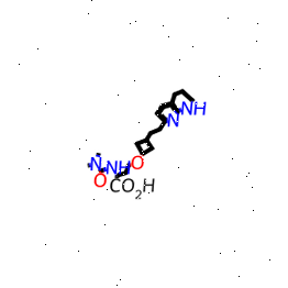 CN(C)C(=O)NC(CCOC1CC(CCc2ccc3c(n2)NCCC3)C1)C(=O)O